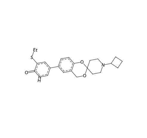 CCSc1cc(-c2ccc3c(c2)COC2(CCN(C4CCC4)CC2)O3)c[nH]c1=O